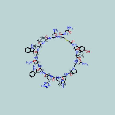 CCCC[C@H]1C(=O)N(C)[C@@H](CCCC)C(=O)N[C@@H](CCN)C(=O)N[C@H](C(=O)NCC(N)=O)CSCC(=O)N[C@@H](Cc2ccc(O)cc2)C(=O)N(C)[C@@H](C)C(=O)N[C@@H](CC(N)=O)CN2CCC[C@H]2C(=O)N[C@@H](Cc2c[nH]cn2)C(=O)N[C@@H](CCC(=O)O)C(=O)N2C[C@H](c3nn[nH]n3)C[C@H]2C(=O)N[C@@H](Cc2c[nH]c3ccccc23)C(=O)N[C@@H](CCN)C(=O)N[C@@H](Cc2c[nH]c3ccccc23)C(=O)N1C